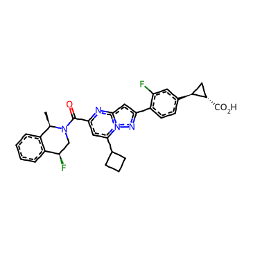 C[C@@H]1c2ccccc2[C@H](F)CN1C(=O)c1cc(C2CCC2)n2nc(-c3ccc([C@H]4C[C@@H]4C(=O)O)cc3F)cc2n1